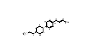 CCC[C@H]1CC[C@H](c2ccc(C/C=C/F)cc2)CC1